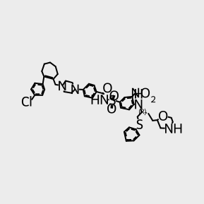 O=C(NS(=O)(=O)c1ccc(N[C@H](CCC2CNCCO2)CSc2ccccc2)c([N+](=O)[O-])c1)c1ccc(N2CCN(CC3=C(c4ccc(Cl)cc4)CCCCC3)CC2)cc1